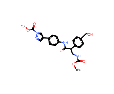 CC(C)(C)OC(=O)NCC(C(=O)Nc1ccc(-c2cnn(C(=O)OC(C)(C)C)c2)cc1)c1ccc(CO)cc1